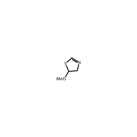 COC1CN=[C]S1